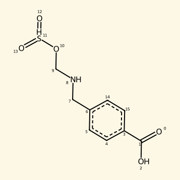 O=C(O)c1ccc(CNCO[SH](=O)=O)cc1